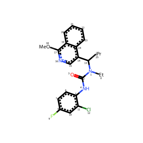 CCN(C(=O)Nc1ccc(F)cc1Cl)C(c1cnc(OC)c2ccccc12)C(C)C